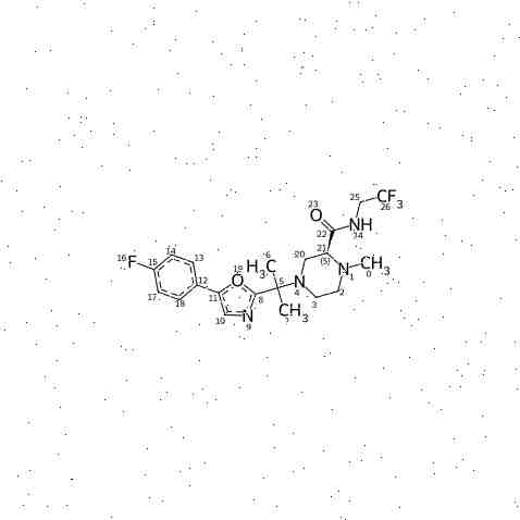 CN1CCN(C(C)(C)c2ncc(-c3ccc(F)cc3)o2)C[C@H]1C(=O)NCC(F)(F)F